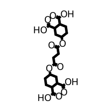 O=C(CCC(=O)OC1CCC(C(=O)O)C(C(=O)O)C1)OC1CCC(C(=O)O)C(C(=O)O)C1